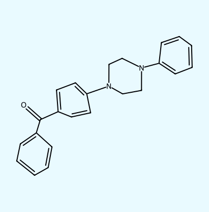 O=C(c1ccccc1)c1ccc(N2CCN(c3ccccc3)CC2)cc1